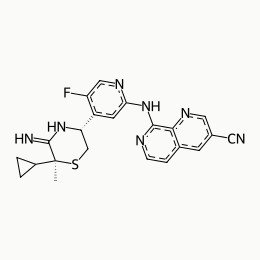 C[C@@]1(C2CC2)SC[C@@H](c2cc(Nc3nccc4cc(C#N)cnc34)ncc2F)NC1=N